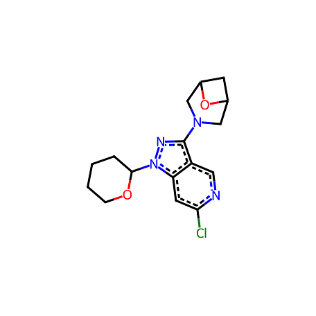 Clc1cc2c(cn1)c(N1CC3CC(C1)O3)nn2C1CCCCO1